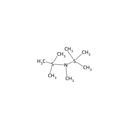 CN(S(C)(C)C)S(C)(C)C